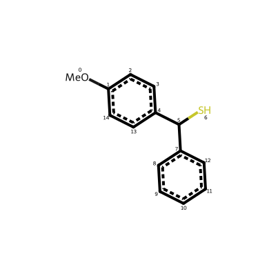 COc1ccc(C(S)c2ccccc2)cc1